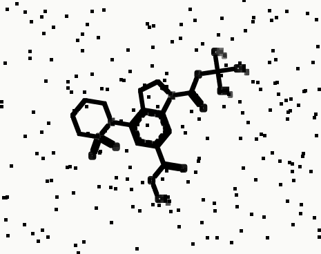 COC(=O)c1cc2c(c(N3CCCCS3(=O)=O)c1)CCN2C(=O)OC(C)(C)C